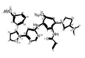 C=CC(=O)Nc1cc(Nc2cc(N3OCC[C@@H]3c3cccc(OC)c3)ncn2)c(OC)cc1N1CCC(N(C)C)C1